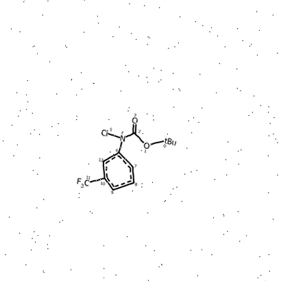 CC(C)(C)OC(=O)N(Cl)c1cccc(C(F)(F)F)c1